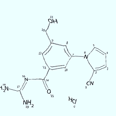 Cl.N#Cc1cccn1-c1cc(CO)cc(C(=O)N=C(N)N)c1